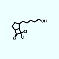 O=C1C2CCC(CCCCCO)C2C1(Cl)Cl